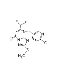 CSc1nc2n(Cc3ccc(Cl)nc3)c(C(F)F)cc(=O)n2n1